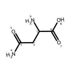 N[C]([CH]C(N)=O)C(=O)O